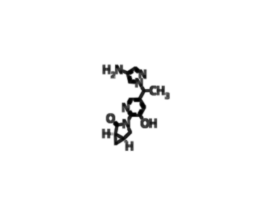 CC(c1cnc(N2C[C@H]3C[C@H]3C2=O)c(O)c1)n1cc(N)cn1